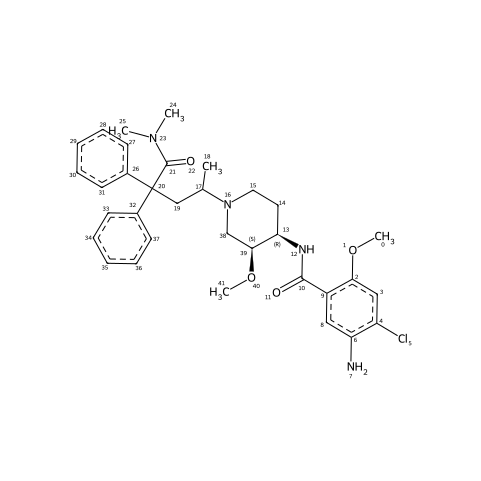 COc1cc(Cl)c(N)cc1C(=O)N[C@@H]1CCN(C(C)CC(C(=O)N(C)C)(c2ccccc2)c2ccccc2)C[C@@H]1OC